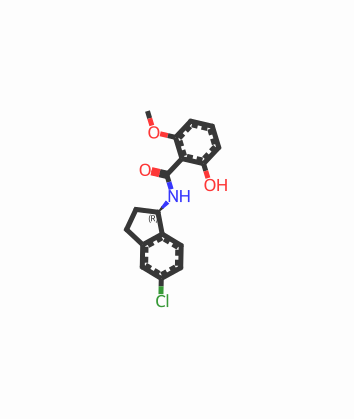 COc1cccc(O)c1C(=O)N[C@@H]1CCc2cc(Cl)ccc21